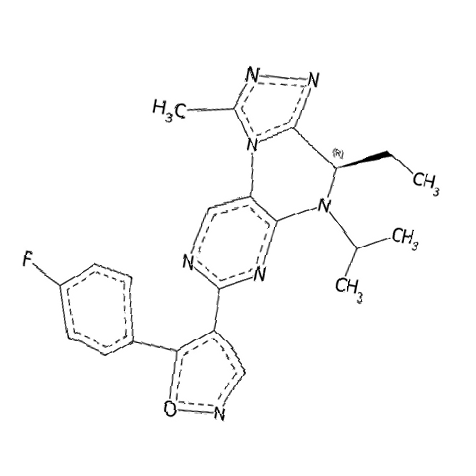 CC[C@@H]1c2nnc(C)n2-c2cnc(-c3cnoc3-c3ccc(F)cc3)nc2N1C(C)C